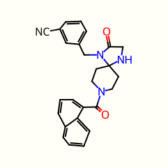 N#Cc1cccc(CN2C(=O)CNC23CCN(C(=O)c2cccc4ccccc24)CC3)c1